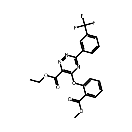 CCOC(=O)c1nnc(-c2cccc(C(F)(F)F)c2)nc1Oc1ccccc1C(=O)OC